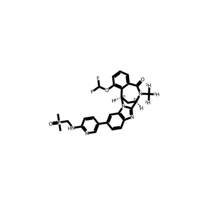 [2H]C([2H])([2H])N1C(=O)c2cccc(OC(F)F)c2[C@H]2C[C@@H]1c1nc3ccc(-c4ccc(NCP(C)(C)=O)nc4)cc3n12